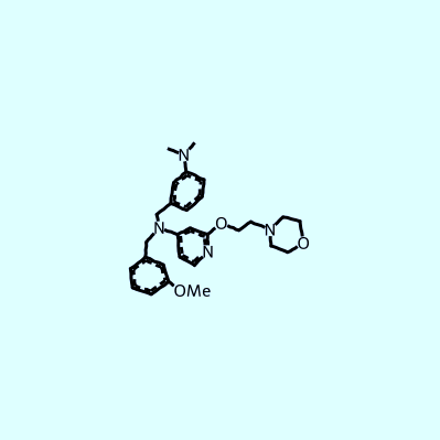 COc1cccc(CN(Cc2cccc(N(C)C)c2)c2ccnc(OCCN3CCOCC3)c2)c1